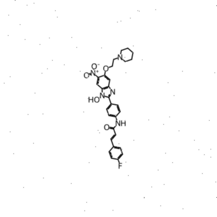 O=C(/C=C/c1ccc(F)cc1)Nc1ccc(-c2nc3cc(OCCN4CCCCC4)c([N+](=O)[O-])cc3n2O)cc1